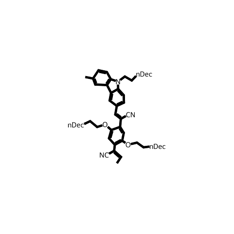 C/C=C(\C#N)c1cc(OCCCCCCCCCCCC)c(/C(C#N)=C/c2ccc3c(c2)c2cc(C)ccc2n3CCCCCCCCCCCC)cc1OCCCCCCCCCCCC